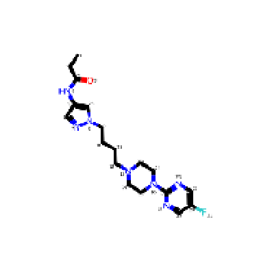 CCC(=O)Nc1cnn(CCCCN2CCN(c3ncc(F)cn3)CC2)c1